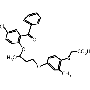 Cc1cc(OCCC(C)Oc2ccc(Cl)cc2C(=O)c2ccccc2)ccc1SCC(=O)O